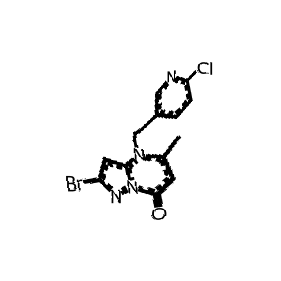 Cc1cc(=O)n2nc(Br)cc2n1Cc1ccc(Cl)nc1